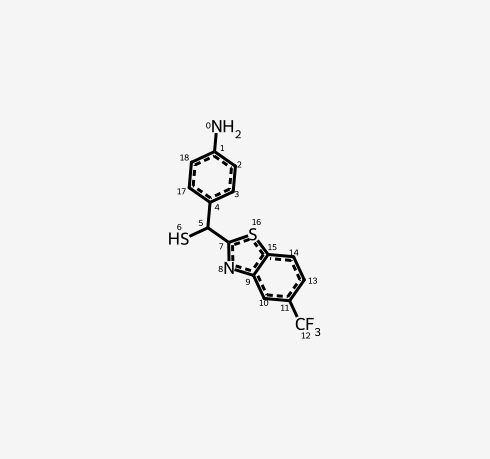 Nc1ccc(C(S)c2nc3cc(C(F)(F)F)ccc3s2)cc1